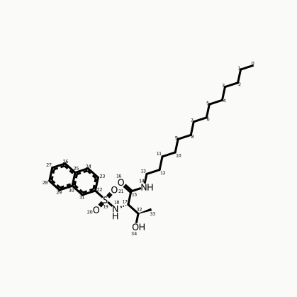 CCCCCCCCCCCCCCNC(=O)[C@@H](NS(=O)(=O)c1ccc2ccccc2c1)[C@@H](C)O